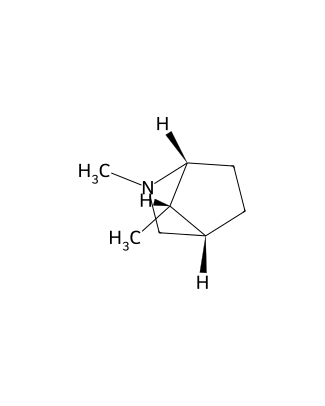 C[C@H]1[C@@H]2CC[C@H]1N(C)C2